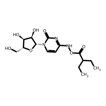 CCC(CC)C(=O)ONc1ccn([C@@H]2O[C@H](CO)[C@@H](O)[C@H]2O)c(=O)n1